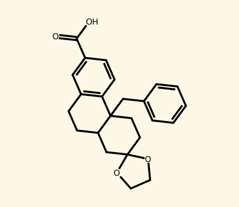 O=C(O)c1ccc2c(c1)CCC1CC3(CCC21Cc1ccccc1)OCCO3